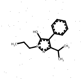 CCCn1nc(C(C)C)c(-c2ccccc2)c1O